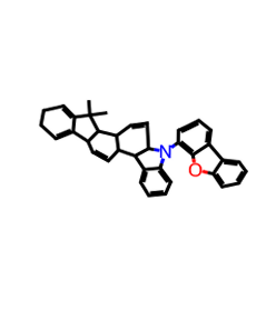 CC1(C)C2=CCCC=C2C2C=CC3C(C=CC4C3c3ccccc3N4c3cccc4c3oc3ccccc34)C21